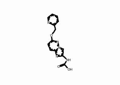 O=C(O)Nc1cn2nc(OCc3ccccn3)ccc2n1